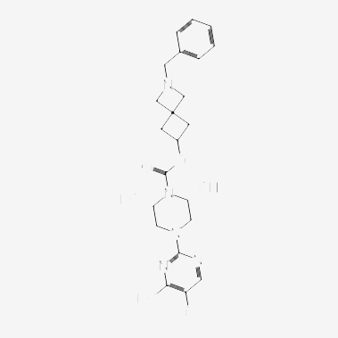 Cc1nc(N2C[C@@H](C)N(C(=O)OC3CC4(C3)CN(Cc3ccccc3)C4)[C@@H](C)C2)ncc1Cl